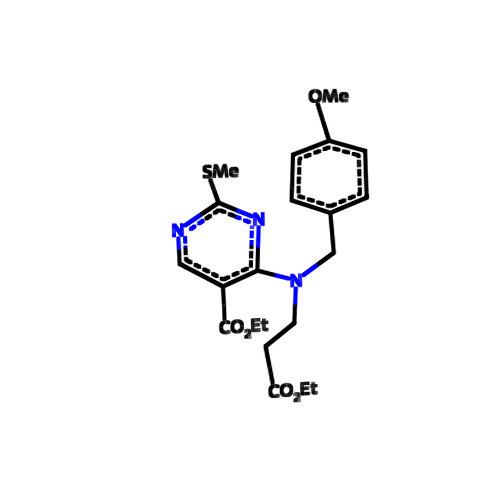 CCOC(=O)CCN(Cc1ccc(OC)cc1)c1nc(SC)ncc1C(=O)OCC